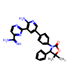 CC1(C)OC(=O)N(c2ccc(-c3cnc(N)c(-c4nccc(C(=N)N)n4)c3)cc2)C1c1ccccc1